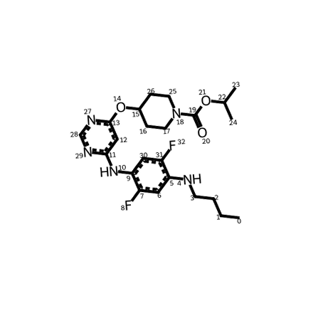 CCCCNc1cc(F)c(Nc2cc(OC3CCN(C(=O)OC(C)C)CC3)ncn2)cc1F